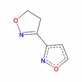 c1cc(C2=NOCC2)no1